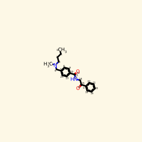 CCCCN(C)Cc1ccc(C(=O)NCC(=O)c2ccccc2)cc1